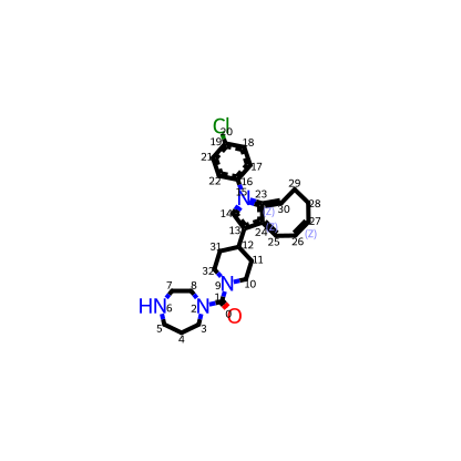 O=C(N1CCCNCC1)N1CCC(c2cn(-c3ccc(Cl)cc3)c3/c2=C\C=C/CC/C=3)CC1